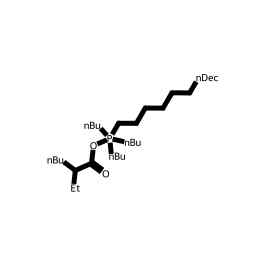 CCCCCCCCCCCCCCCCP(CCCC)(CCCC)(CCCC)OC(=O)C(CC)CCCC